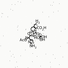 C=CC1=C(C(=O)O)N2C(=O)C(NC(=O)/C(=N/OC(C)=O)c3csc(N)n3)[C@H]2SC1.O=P(O)(O)O